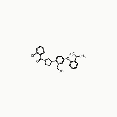 CC(C)c1ccccc1Oc1ccc(C2CCN(C(=O)c3ncccc3Cl)C2)c(CO)c1